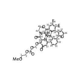 COCCOC(=O)OCOc1c2n(ccc1=O)N([C@@H]1c3ccccc3-c3occc3-c3c1ccc(F)c3F)[C@@H]1COCCN1C2=O